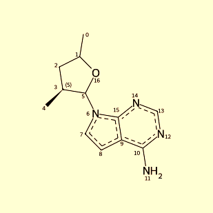 CC1C[C@H](C)C(n2ccc3c(N)ncnc32)O1